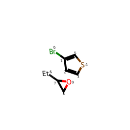 Brc1ccsc1.CCC1CO1